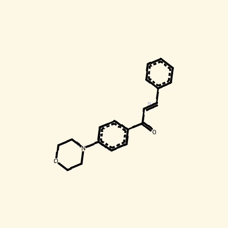 O=C(/C=C/c1ccccc1)c1ccc(N2CCOCC2)cc1